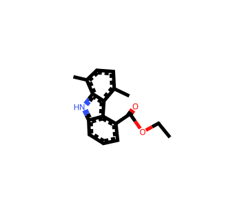 CCOC(=O)c1cccc2[nH]c3c(C)ccc(C)c3c12